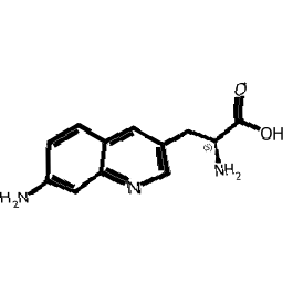 Nc1ccc2cc(C[C@H](N)C(=O)O)cnc2c1